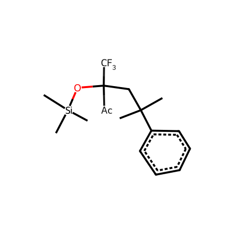 CC(=O)C(CC(C)(C)c1ccccc1)(O[Si](C)(C)C)C(F)(F)F